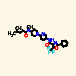 CC(C)CCC(=O)N(C)C1CCN(c2ccc(NC(=O)c3nc(-c4ccccc4)oc3C(F)(F)F)cn2)CC1